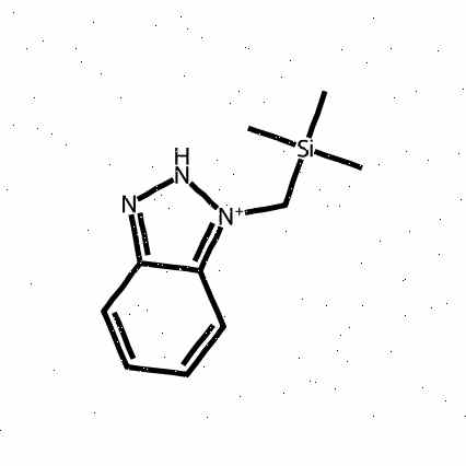 C[Si](C)(C)C[n+]1[nH]nc2ccccc21